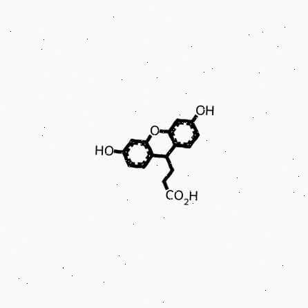 O=C(O)CCC1c2ccc(O)cc2Oc2cc(O)ccc21